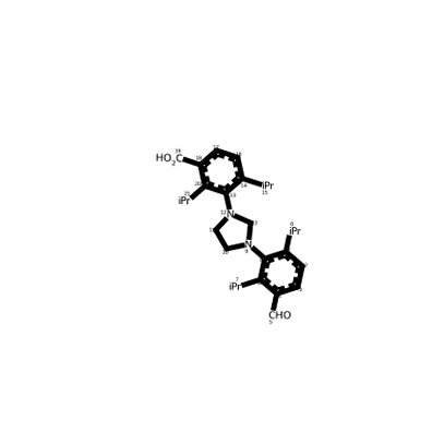 CC(C)c1ccc(C=O)c(C(C)C)c1N1CCN(c2c(C(C)C)ccc(C(=O)O)c2C(C)C)C1